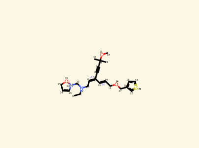 CCN(C/C=C(C#CC(C)(C)OC)\C=C\COCc1ccsc1)CN1C=CCO1